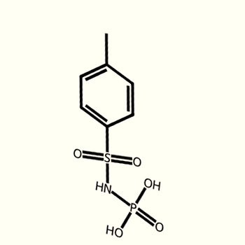 Cc1ccc(S(=O)(=O)NP(=O)(O)O)cc1